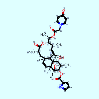 CO[C@H]1C[C@H]2C=C[C@]3(C)[C@H]4[C@H](O)[C@@H](C)[C@@H](OC(=O)c5ccc[nH]5)[C@@H]3O[C@@]24/C(C)=C/[C@@H](C)[C@@H]([C@@H](C)OC(=O)Cn2ccc(=O)cc2)OC1=O